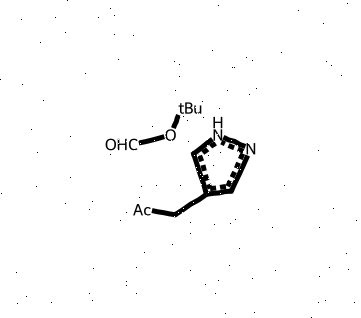 CC(=O)Cc1cn[nH]c1.CC(C)(C)OC=O